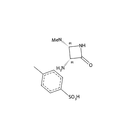 CN[C@@H]1NC(=O)[C@@H]1N.Cc1ccc(S(=O)(=O)O)cc1